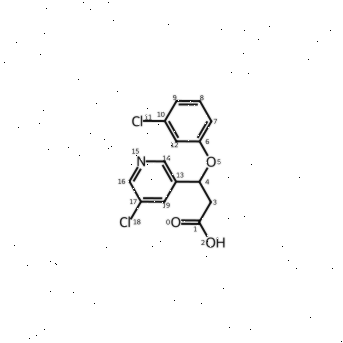 O=C(O)CC(Oc1cccc(Cl)c1)c1cncc(Cl)c1